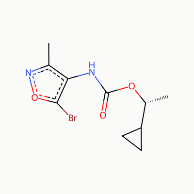 Cc1noc(Br)c1NC(=O)O[C@H](C)C1CC1